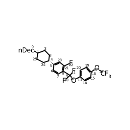 CCCCCCCCCC[C@H]1CC[C@H](c2ccc(C(F)(F)Oc3ccc(OC(F)(F)F)cc3)c(F)c2)CC1